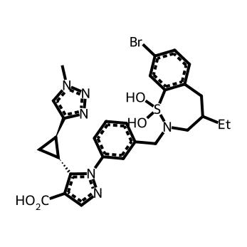 CCC1Cc2ccc(Br)cc2S(O)(O)N(Cc2cccc(-n3ncc(C(=O)O)c3[C@@H]3C[C@H]3c3cn(C)nn3)c2)C1